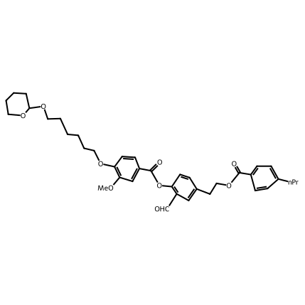 CCCc1ccc(C(=O)OCCc2ccc(OC(=O)c3ccc(OCCCCCCOC4CCCCO4)c(OC)c3)c(C=O)c2)cc1